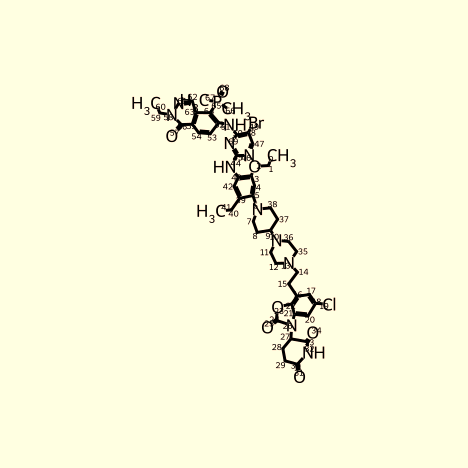 CCOc1cc(N2CCC(N3CCN(CCc4cc(Cl)cc5c4oc(=O)n5C4CCC(=O)NC4=O)CC3)CC2)c(CC)cc1Nc1ncc(Br)c(Nc2ccc3c(=O)n(CC)ncc3c2P(C)(C)=O)n1